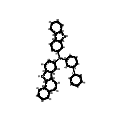 c1ccc(-c2cccc(N(c3ccc4c(c3)sc3ccccc34)c3ccc4oc5c6ccccc6ccc5c4c3)c2)cc1